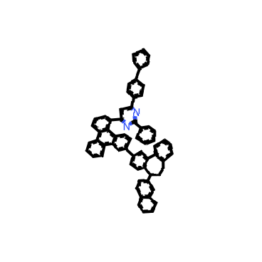 c1ccc(-c2ccc(-c3cc(-c4cccc5c6ccccc6c6cc(-c7ccc8c(c7)-c7ccccc7CCC8c7ccc8ccccc8c7)ccc6c45)nc(-c4ccccc4)n3)cc2)cc1